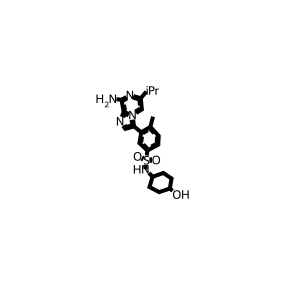 Cc1ccc(S(=O)(=O)NC2CCC(O)CC2)cc1-c1cnc2c(N)nc(C(C)C)cn12